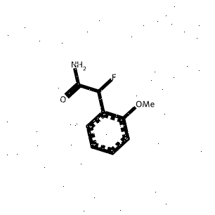 COc1ccccc1C(F)C(N)=O